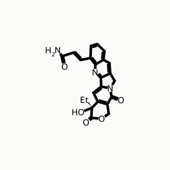 CC[C@@]1(O)C(=O)OCc2c1cc1n(c2=O)Cc2cc3cccc(C=CC(N)=O)c3nc2-1